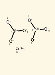 [Cu+2].[O-][I+2]([O-])[O-].[O-][I+2]([O-])[O-]